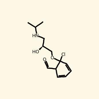 CC(C)NC[C@H](O)COC1(Cl)C=CC=CC1C=O